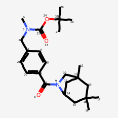 CN(Cc1ccc(C(=O)N2CC3(C)CC2CC(C)(C)C3)cc1)C(=O)OC(C)(C)C